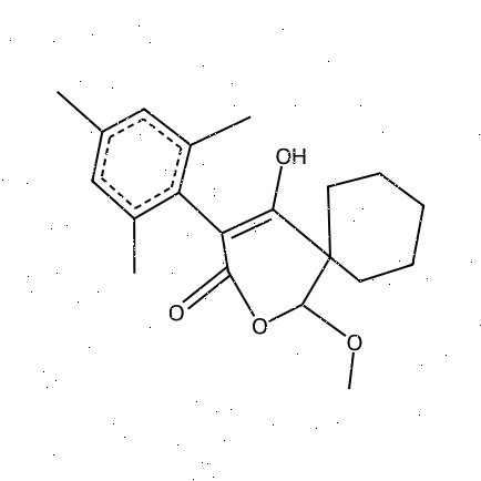 COC1OC(=O)C(c2c(C)cc(C)cc2C)=C(O)C12CCCCC2